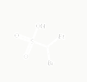 CCC(Br)S(=O)(=O)O